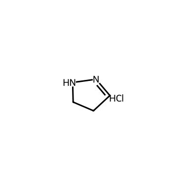 C1=NNCC1.Cl